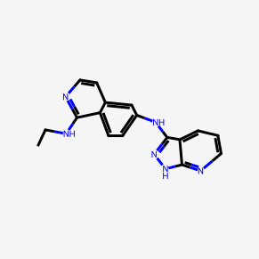 CCNc1nccc2cc(Nc3n[nH]c4ncccc34)ccc12